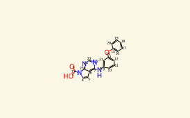 O=C(O)n1ccc2c(Nc3cccc(Oc4ccccc4)c3)ncnc21